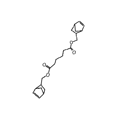 O=C(CCCCC(=O)OCC1CC2C=CC1C2)OCC1CC2C=CC1C2